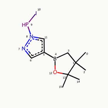 CC1(C)CB(c2cnn(PI)c2)OC1(C)C